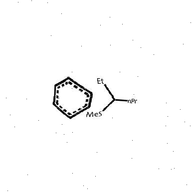 CCCC(CC)SC.c1ccccc1